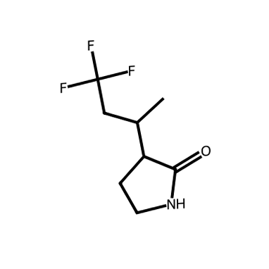 CC(CC(F)(F)F)C1CCNC1=O